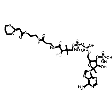 CC(C)(COP(=O)(O)OP(=O)(O)OCC1OC(C)(n2cnc3c(N)ncnc32)C(O)C1OP(=O)(O)O)C(O)C(=O)NCCC(=O)NCCSC(=O)C=C1SCCCS1